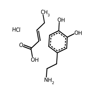 CCC=CC(=O)O.Cl.NCCc1ccc(O)c(O)c1